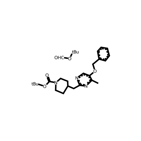 CC(C)(C)OC=O.Cc1nc(CC2CCN(C(=O)OC(C)(C)C)CC2)ncc1OCc1ccccc1